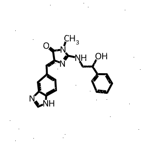 CN1C(=O)/C(=C/c2ccc3[nH]cnc3c2)N=C1NCC(O)c1ccccc1